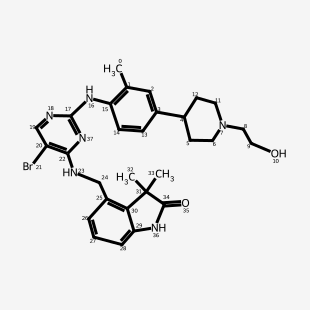 Cc1cc(C2CCN(CCO)CC2)ccc1Nc1ncc(Br)c(NCc2cccc3c2C(C)(C)C(=O)N3)n1